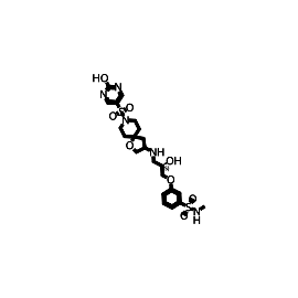 CNS(=O)(=O)c1cccc(OC[C@@H](O)CNC2COC3(CCN(S(=O)(=O)c4cnc(O)nc4)CC3)C2)c1